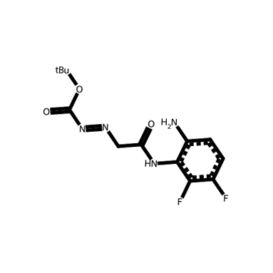 CC(C)(C)OC(=O)N=NCC(=O)Nc1c(N)ccc(F)c1F